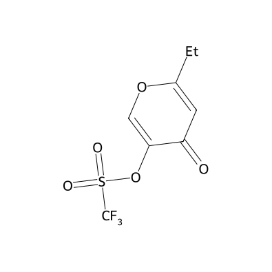 CCc1cc(=O)c(OS(=O)(=O)C(F)(F)F)co1